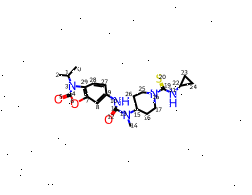 CC(C)n1c(=O)oc2cc(NC(=O)N(C)C3CCN(C(=S)NC4CC4)CC3)ccc21